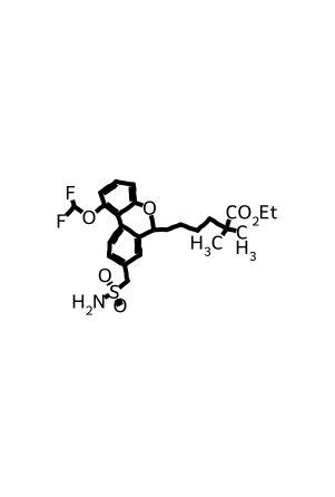 CCOC(=O)C(C)(C)CCCCC1Oc2cccc(OC(F)F)c2-c2ccc(CS(N)(=O)=O)cc21